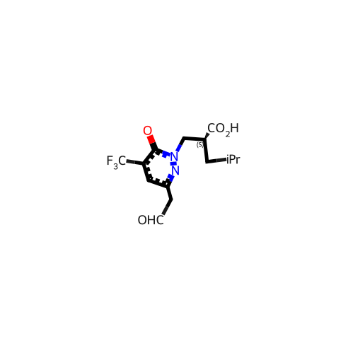 CC(C)C[C@@H](Cn1nc(CC=O)cc(C(F)(F)F)c1=O)C(=O)O